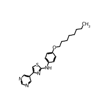 CCCCCCCCOc1ccc(Nc2nc(-c3cncnc3)cs2)cc1